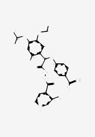 CCOc1cc(C(Nc2ccc(C(=N)N)cc2)C(=O)NNC(=O)c2ccncc2C)c(F)cc1OC(C)C